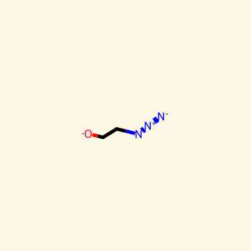 [N-]=[N+]=NCC[O]